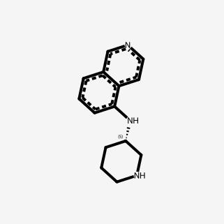 c1cc(N[C@H]2CCCNC2)c2ccncc2c1